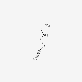 C#CCCNCN